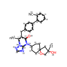 CCCc1c(Cc2ccc(-c3ccccc3C#N)cc2)c(=O)n(C2CCC3(CC2)CC(O)(CC)CO3)c2ncnn12